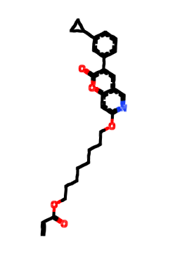 C=CC(=O)OCCCCCCCCOc1cc2oc(=O)c(-c3cccc(C4CC4)c3)cc2cn1